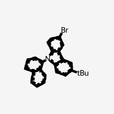 CC(C)(C)c1ccc2c(c1)c1cc(Br)ccc1n2-c1cccc2ccccc12